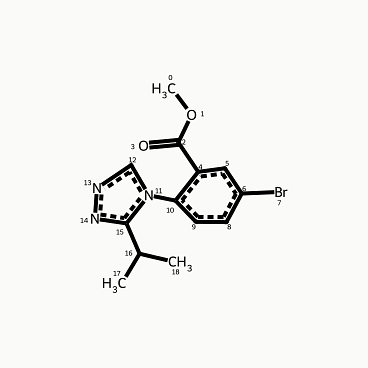 COC(=O)c1cc(Br)ccc1-n1cnnc1C(C)C